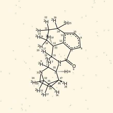 [2H]C1([2H])[C@@H](N2C(=O)c3cccc4c3[C@@]([2H])(C2([2H])[2H])C([2H])([2H])C([2H])([2H])C4([2H])[2H])[C@]2([2H])CCN1C([2H])([2H])C2([2H])[2H]